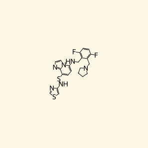 Fc1ccc(F)c(CN2CCCC2)c1CNc1ccc(SNc2cscn2)c2nccn12